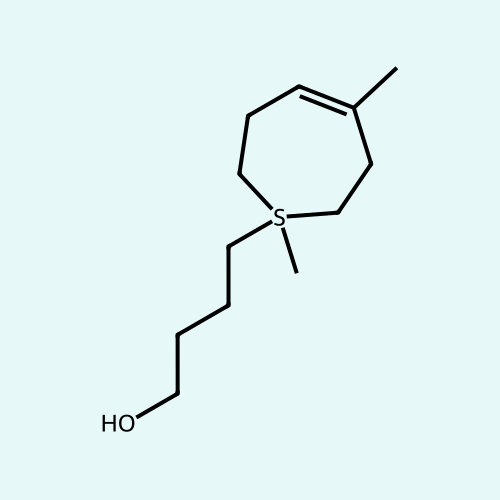 CC1=CCCS(C)(CCCCO)CC1